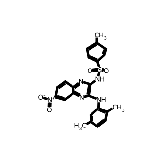 Cc1ccc(S(=O)(=O)Nc2nc3ccc([N+](=O)[O-])cc3nc2Nc2cc(C)ccc2C)cc1